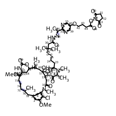 COc1cc2cc(c1Cl)N(C)C(=O)C[C@H](OC(=O)[C@H](C)N(C)C(=O)CCSSC(C)(C)CC(=O)N/N=C(\C)c1ncc(OCCCC(=O)ON3C(=O)CCC3=O)cn1)C(C)(O)C[C@H](C)[C@@H]1C[C@@](O)(NC(=O)O1)[C@H](OC)/C=C/C=C(\C)C2